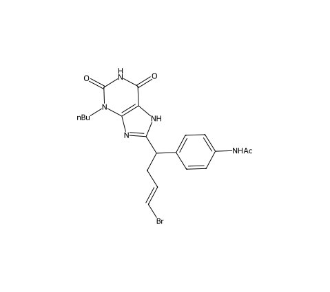 CCCCn1c(=O)[nH]c(=O)c2[nH]c(C(CC=CBr)c3ccc(NC(C)=O)cc3)nc21